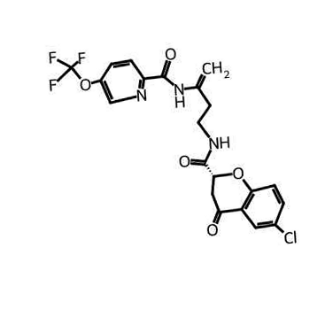 C=C(CCNC(=O)[C@H]1CC(=O)c2cc(Cl)ccc2O1)NC(=O)c1ccc(OC(F)(F)F)cn1